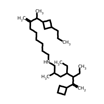 C=C(CCCCCCNCC(C)CC(CC)C(CC)C(=C)C1CCC1)C(C)C1CC(CCC)C1